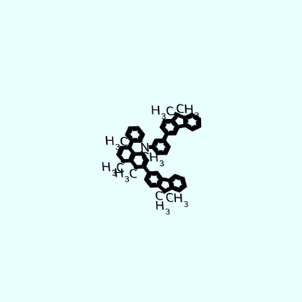 CC1C=CC2(C)C3=C1C(C)C(c1ccc4c(c1)-c1ccccc1C4(C)C)=CC3(C)N(c1cccc(-c3ccc4c(c3)-c3ccccc3C4(C)C)c1)c1ccccc12